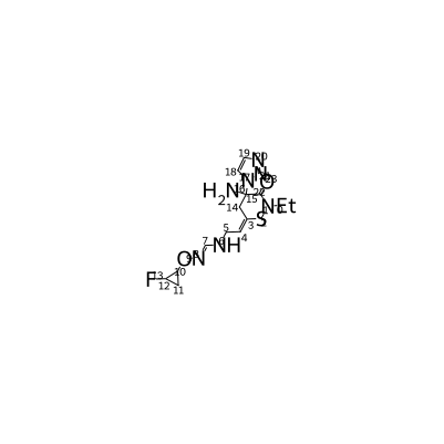 CCN1SC(=CCNC=NOC2CC2F)CC(N)(n2ccnn2)C1=O